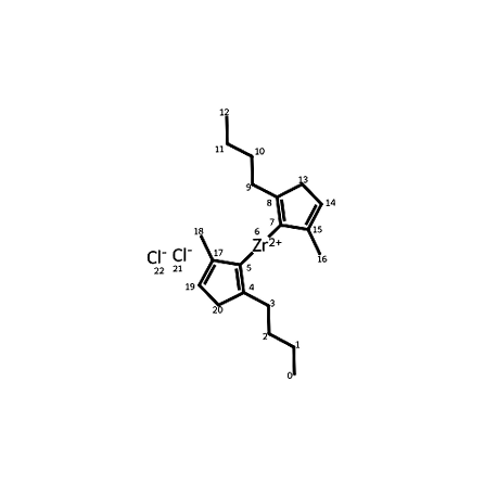 CCCCC1=[C]([Zr+2][C]2=C(CCCC)CC=C2C)C(C)=CC1.[Cl-].[Cl-]